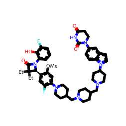 CCC1(CC)C(=O)N(c2cccc(F)c2O)[C@H]1c1cc(F)c(N2CCC(CN3CCC(CN4CCC(n5ccc6cc(N7CCC(=O)NC7=O)ccc65)CC4)CC3)CC2)cc1OC